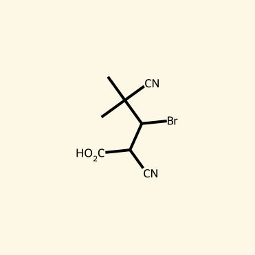 CC(C)(C#N)C(Br)C(C#N)C(=O)O